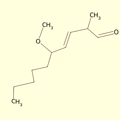 CCCCCC(C=CC(C)C=O)OC